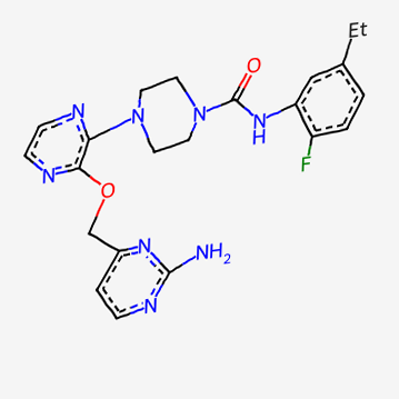 CCc1ccc(F)c(NC(=O)N2CCN(c3nccnc3OCc3ccnc(N)n3)CC2)c1